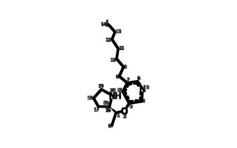 CC(Oc1cncc(CCCCCCI)c1)[C@@H]1CCCN1